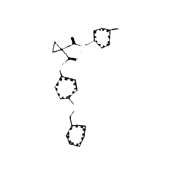 O=C(Nc1ccc(F)cc1)C1(C(=O)Nc2ccc(OCc3ccccc3)cc2)CC1